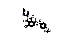 C=C/C=C\C(=C/C)N1C(=O)c2c(Cl)ccc(NS(=O)(=O)c3ccc(OC(F)(F)F)cc3)c2C1=O